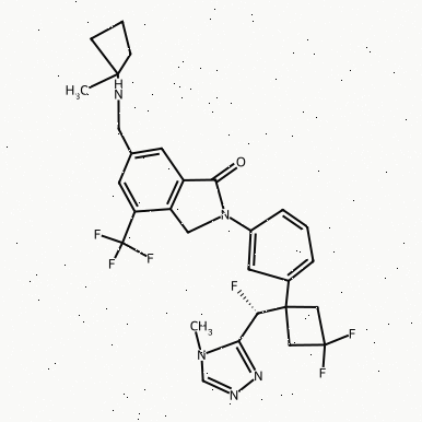 Cn1cnnc1[C@H](F)C1(c2cccc(N3Cc4c(cc(CNC5(C)CCC5)cc4C(F)(F)F)C3=O)c2)CC(F)(F)C1